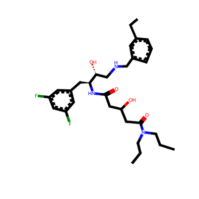 CCCN(CCC)C(=O)CC(O)CC(=O)N[C@@H](Cc1cc(F)cc(F)c1)[C@H](O)CNCc1cccc(CC)c1